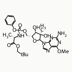 COc1nc(N)nc2c1ncn2C1O[C@H](COP(=O)(N[C@@H](C)C(=O)OCC(C)(C)C)Oc2ccccc2)[C@@H](O)[C@@]1(C)O